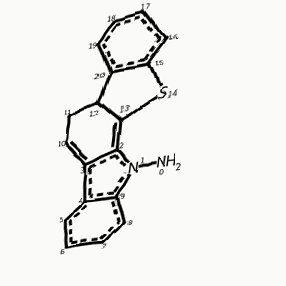 Nn1c2c(c3ccccc31)=CCC1C=2Sc2ccccc21